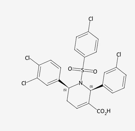 O=C(O)C1=CC[C@@H](c2ccc(Cl)c(Cl)c2)N(S(=O)(=O)c2ccc(Cl)cc2)[C@H]1c1cccc(Cl)c1